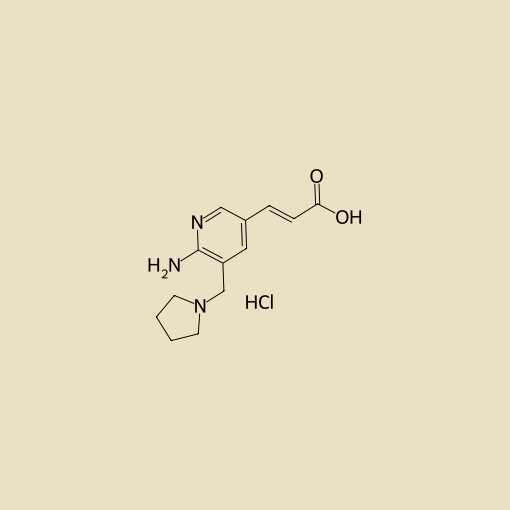 Cl.Nc1ncc(/C=C/C(=O)O)cc1CN1CCCC1